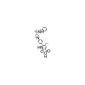 CCc1cc(C(=O)O)c(=O)[nH]c1-c1ccc(N2CCC(C3(NCc4ccccc4)CC3)C2)cc1